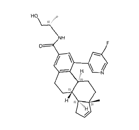 C[C@@H](CO)NC(=O)c1cc2c(c(-c3cncc(F)c3)c1)[C@H]1CC[C@]3(C)C=CC[C@H]3[C@@H]1CC2